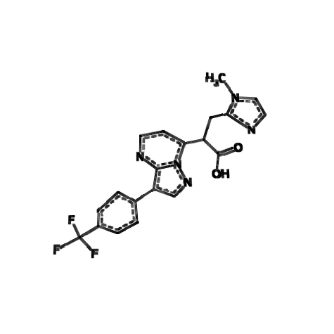 Cn1ccnc1CC(C(=O)O)c1ccnc2c(-c3ccc(C(F)(F)F)cc3)cnn12